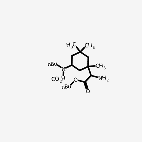 CCCCOC(=O)C(N)C1(C)CC(N(CCCC)C(=O)O)CC(C)(C)C1